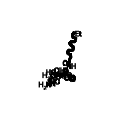 CC/C=C\C/C=C\C/C=C\C/C=C\C/C=C\C/C=C\CCC(=O)NCCNP(=O)(OC[C@H]1O[C@@H](n2ccc(N)nc2=O)[C@](C)(O)[C@@H]1O)Oc1ccccc1